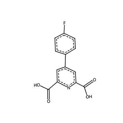 O=C(O)c1cc(-c2ccc(F)cc2)cc(C(=O)O)n1